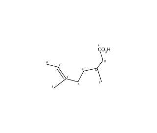 CC=C(C)CCC(C)CC(=O)O